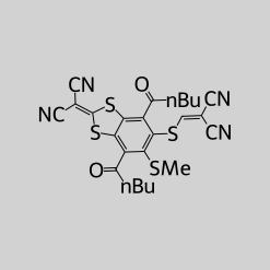 CCCCC(=O)c1c(SC)c(SC=C(C#N)C#N)c(C(=O)CCCC)c2c1SC(=C(C#N)C#N)S2